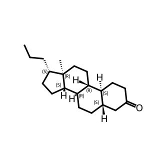 CCC[C@H]1CC[C@H]2[C@@H]3CC[C@H]4CC(=O)CC[C@@H]4[C@H]3CC[C@]12C